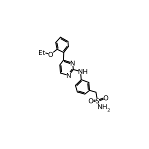 CCOc1ccccc1-c1ccnc(Nc2cccc(CS(N)(=O)=O)c2)n1